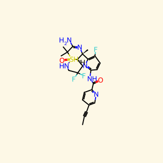 CC#Cc1ccc(C(=O)Nc2ccc(F)c([C@@]3(C)N=C(N)C(C)(C)[SH]4(=O)NCC(F)(F)C[C@H]34)n2)nc1